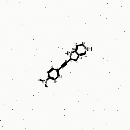 CN(C)c1ccc(C#CC2CC3=CNCC=C3N2)cc1